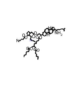 CC/C=C\CC1C(CC(=O)OCCC(OC(=O)CCCCC(COC(=O)CCCCC)COC(=O)CCCCC)C2CC[C@@]3(C)C(=CC[C@H]4[C@@H]5CC[C@H]([C@H](N)CCCC(C)C)[C@@]5(C)CC[C@@H]43)C2)CCC1OC(=O)CCCN(C)C